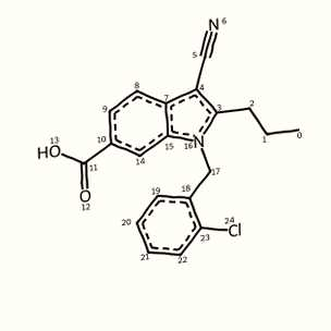 CCCc1c(C#N)c2ccc(C(=O)O)cc2n1Cc1ccccc1Cl